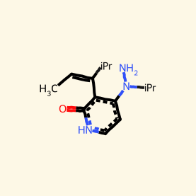 C/C=C(\c1c(N(N)C(C)C)cc[nH]c1=O)C(C)C